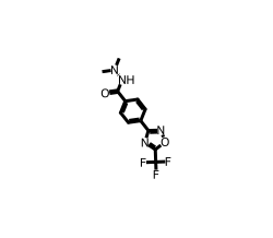 CN(C)NC(=O)c1ccc(-c2noc(C(F)(F)F)n2)cc1